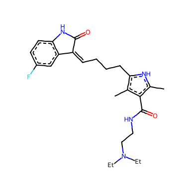 CCN(CC)CCNC(=O)c1c(C)[nH]c(CCC/C=C2\C(=O)Nc3ccc(F)cc32)c1C